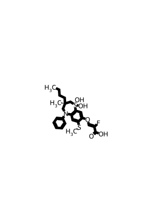 CCCC[C@]1(C)CN(c2ccccc2)c2cc(SC)c(O/C=C(\F)C(=O)O)cc2S(O)(O)C1